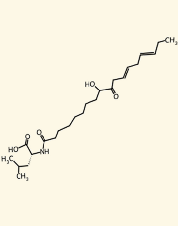 CC/C=C/C/C=C/CC(=O)C(O)CCCCCCCC(=O)N[C@H](CC(C)C)C(=O)O